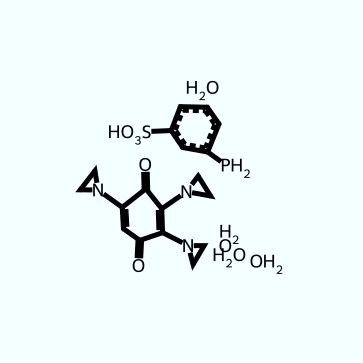 O.O.O.O.O=C1C=C(N2CC2)C(=O)C(N2CC2)=C1N1CC1.O=S(=O)(O)c1cccc(P)c1